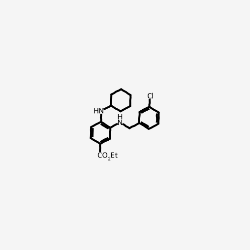 CCOC(=O)c1ccc(NC2CCCCC2)c(NCc2cccc(Cl)c2)c1